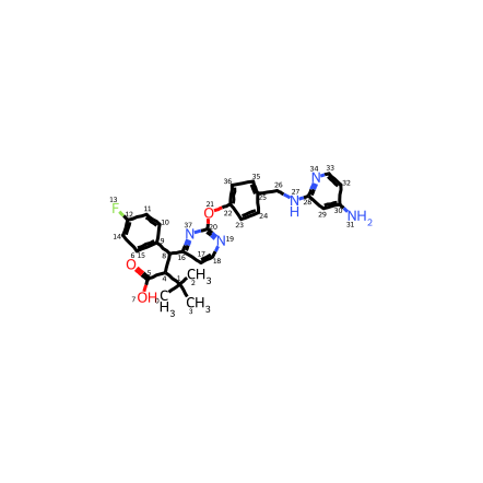 CC(C)(C)C(C(=O)O)C(c1ccc(F)cc1)c1ccnc(Oc2ccc(CNc3cc(N)ccn3)cc2)n1